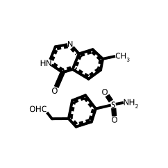 Cc1ccc2c(=O)[nH]cnc2c1.NS(=O)(=O)c1ccc(CC=O)cc1